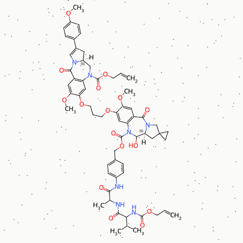 C=CCOC(=O)NC(C(=O)NC(C)C(=O)Nc1ccc(COC(=O)N2c3cc(OCCCOc4cc5c(cc4OC)C(=O)N4C=C(c6ccc(OC)cc6)C[C@H]4CN5C(=O)OCC=C)c(OC)cc3C(=O)N3CC4(CC4)C[C@H]3C2O)cc1)C(C)C